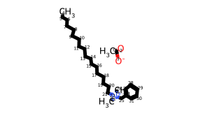 CC(=O)[O-].CCCCCCCCCCCCCCCCCC[N+](C)(C)Cc1ccccc1